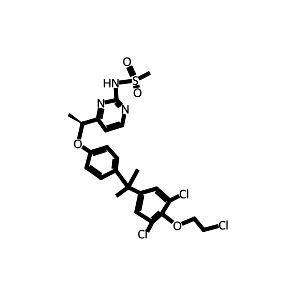 C[C@H](Oc1ccc(C(C)(C)c2cc(Cl)c(OCCCl)c(Cl)c2)cc1)c1ccnc(NS(C)(=O)=O)n1